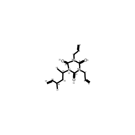 C=CCn1c(=O)n(CC=C)c(=O)n(C(C)CC(C)C=C)c1=O